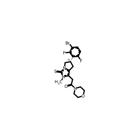 Cn1c(CC(=O)N2CCOCC2)c2n(c1=S)C[C@H](c1c(F)ccc(Br)c1F)C2